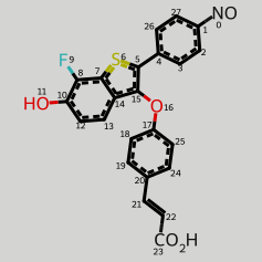 O=Nc1ccc(-c2sc3c(F)c(O)ccc3c2Oc2ccc(/C=C/C(=O)O)cc2)cc1